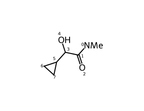 CNC(=O)C(O)C1CC1